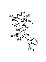 CN[C@H](C(=O)N[C@H](C(=O)N(C)[C@H](/C=C(\C)C(=O)O)C(C)C)C(C)(C)C)C(C)(C)C1CN(C)c2ccccc21